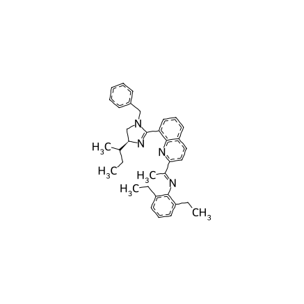 CCc1cccc(CC)c1/N=C(\C)c1ccc2cccc(C3=N[C@@H](C(C)CC)CN3Cc3ccccc3)c2n1